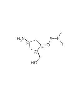 N[C@@H]1C[C@H](CO)[C@@H](OSP(I)I)C1